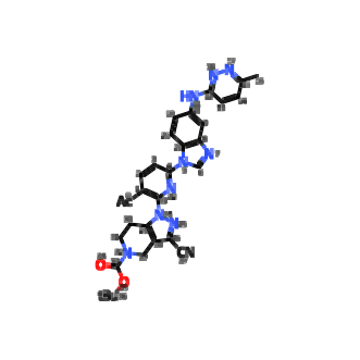 CC(=O)c1ccc(-n2cnc3cc(Nc4ccc(C)nn4)ccc32)nc1-n1nc(C#N)c2c1CCN(C(=O)OC(C)(C)C)C2